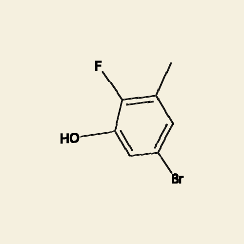 Cc1cc(Br)cc(O)c1F